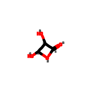 O=C1OC(O)C1O